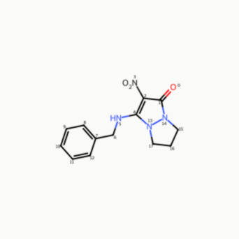 O=c1c([N+](=O)[O-])c(NCc2ccccc2)n2n1CCC2